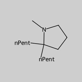 CCCCCC1(CCCCC)CCCN1C